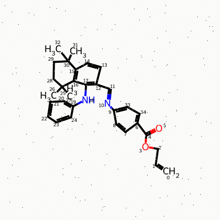 C=CCOC(=O)c1ccc(N=Cc2ccc3c(c2Nc2ccccc2)C(C)(C)CCC3(C)C)cc1